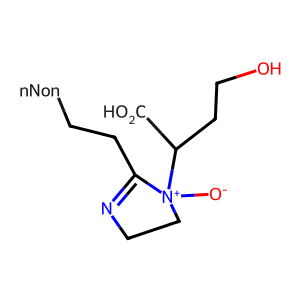 CCCCCCCCCCCC1=NCC[N+]1([O-])C(CCO)C(=O)O